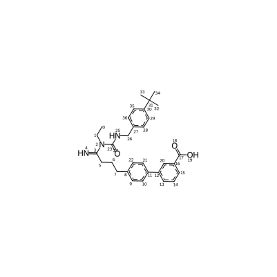 CCN(C(=N)CCCc1ccc(-c2cccc(C(=O)O)c2)cc1)C(=O)NCc1ccc(C(C)(C)C)cc1